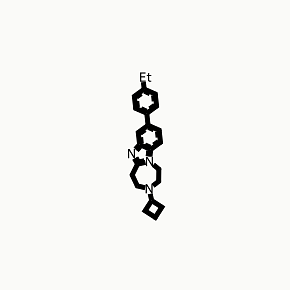 CCc1ccc(-c2ccc3c(c2)nc2n3CCN(C3CCC3)CC2)cc1